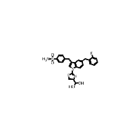 NS(=O)(=O)c1ccc(Cc2cn(-c3nc(C(O)O)cs3)c3ccc(Cc4ccccc4F)cc23)cc1